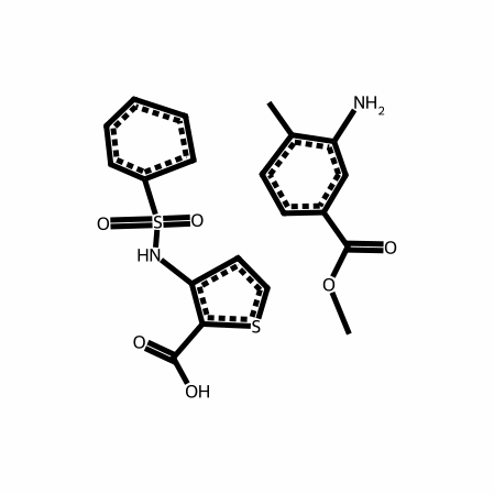 COC(=O)c1ccc(C)c(N)c1.O=C(O)c1sccc1NS(=O)(=O)c1ccccc1